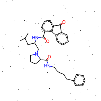 CC(C)CC(CN1CCC[C@H]1C(=O)NCCCCc1ccccc1)NC(=O)c1cccc2c1-c1ccccc1C2=O